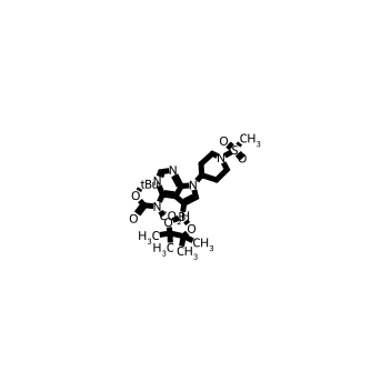 CC(C)(C)OC(=O)N(C(=O)O)c1ncnc2c1c(B1OC(C)(C)C(C)(C)O1)cn2C1CCN(S(C)(=O)=O)CC1